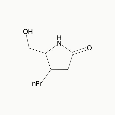 CCCC1CC(=O)NC1CO